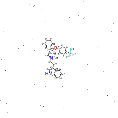 FC(F)(F)c1ccc(OC2(c3ccccc3)CCN(CCc3c[nH]c4ccccc34)CC2)cc1